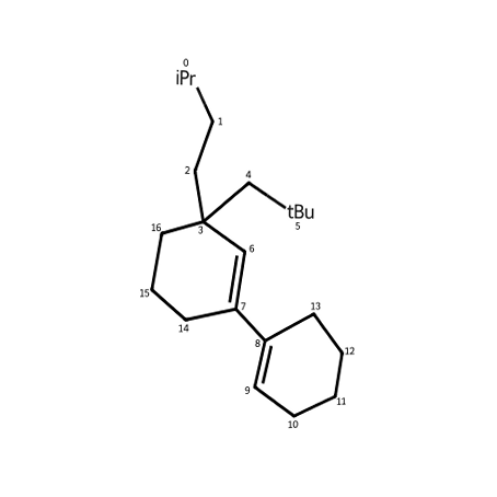 CC(C)CCC1(CC(C)(C)C)C=C(C2=CCCCC2)CCC1